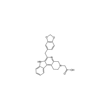 O=C(O)CN1CCc2c(nc(Cc3ccc4c(c3)OCO4)c3[nH]c4ccccc4c23)C1